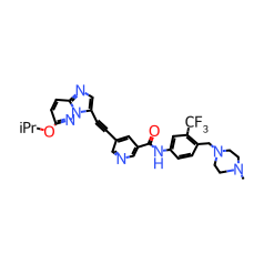 CC(C)Oc1ccc2ncc(C#Cc3cncc(C(=O)Nc4ccc(CN5CCN(C)CC5)c(C(F)(F)F)c4)c3)n2n1